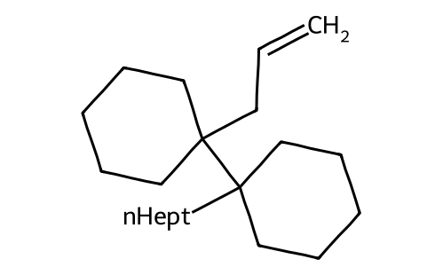 C=CCC1(C2(CCCCCCC)CCCCC2)CCCCC1